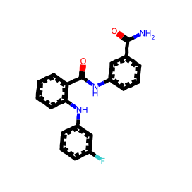 NC(=O)c1cccc(NC(=O)c2ccccc2Nc2cccc(F)c2)c1